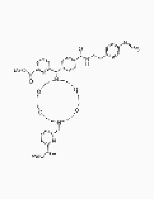 COC(=O)c1cccc(CN2CCOCCOCCN(C(c3ccc(C(=O)NCCc4ccc(N=C=S)cc4)cc3)c3cccc(C(=O)OC)n3)CCOCCOCC2)n1